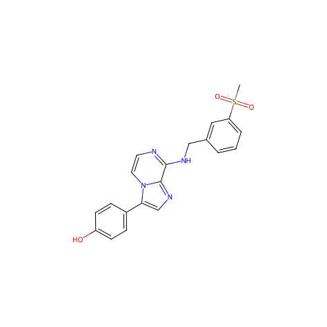 CS(=O)(=O)c1cccc(CNc2nccn3c(-c4ccc(O)cc4)cnc23)c1